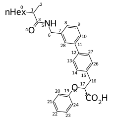 CCCCCCC(C)C(=O)NCc1cccc(-c2ccc(CC(Oc3ccccc3)C(=O)O)cc2)c1